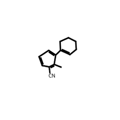 Cc1c(C#N)cccc1C1=CCCCC1